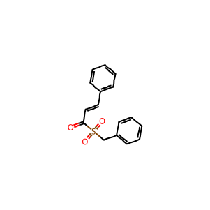 O=C(C=Cc1ccccc1)S(=O)(=O)Cc1ccccc1